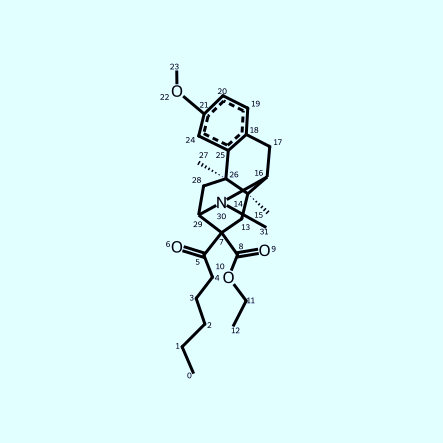 CCCCCC(=O)C1(C(=O)OCC)C[C@]2(C)C3Cc4ccc(OC)cc4[C@]2(C)CC1N3C